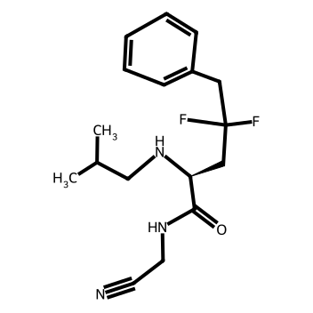 CC(C)CN[C@@H](CC(F)(F)Cc1ccccc1)C(=O)NCC#N